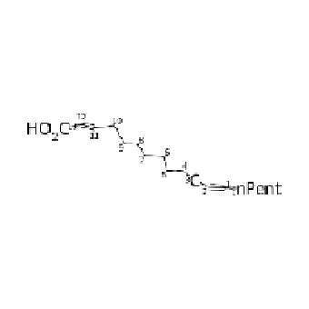 CCCCCC#CCCCCCCCCC#CC(=O)O